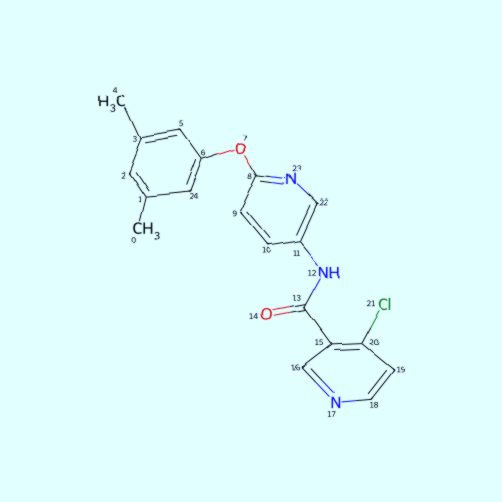 Cc1cc(C)cc(Oc2ccc(NC(=O)c3cnccc3Cl)cn2)c1